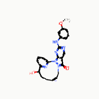 COc1cccc(Nc2ncc3c(=O)n4n(c3n2)-c2cccc(n2)C(O)CC/C=C\C4)c1